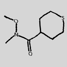 CON(C)C(=O)C1CCSCC1